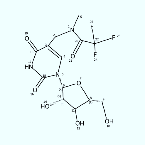 CN(Cc1cn([C@@H]2O[C@H](CO)C(O)[C@@H]2O)c(=O)[nH]c1=O)C(=O)C(F)(F)F